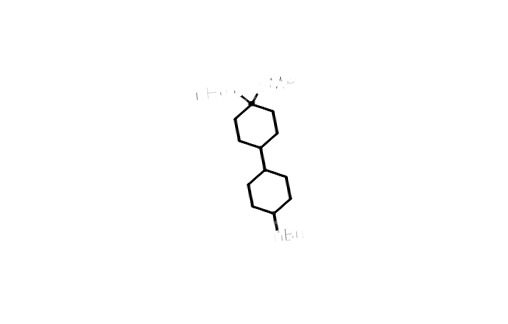 CCCCCCC1(SC)CCC(C2CCC(CCCC)CC2)CC1